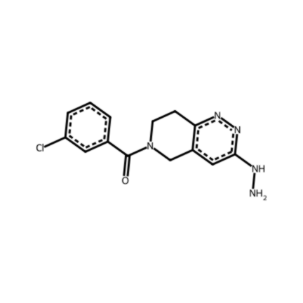 NNc1cc2c(nn1)CCN(C(=O)c1cccc(Cl)c1)C2